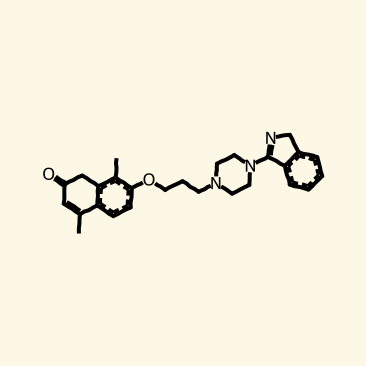 CC1=CC(=O)Cc2c1ccc(OCCCN1CCN(C3=NCc4ccccc43)CC1)c2C